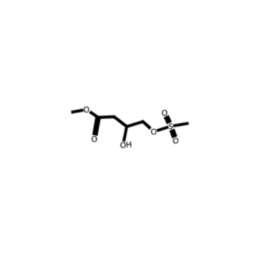 COC(=O)CC(O)COS(C)(=O)=O